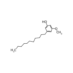 CCCCCCCCCCCc1cc(O)cc(OC)c1